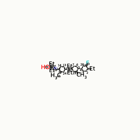 CCc1ccc(-c2ccc(C(CC)(CC)c3ccc(/C=C/C(O)(CC)CC)c(C)c3)cc2C)cc1F